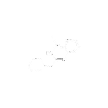 O=c1[nH]c(CC2CCCCC2)nc2ccccc12